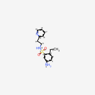 CCc1ccc(N)cc1S(=O)(=O)NCCc1ccccn1